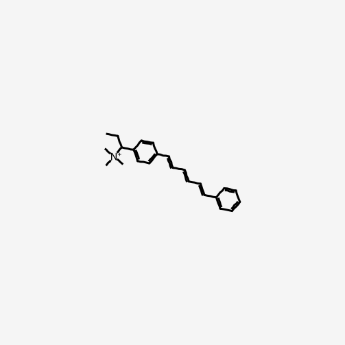 CCC(c1ccc(C=CC=CC=Cc2ccccc2)cc1)[N+](C)(C)C